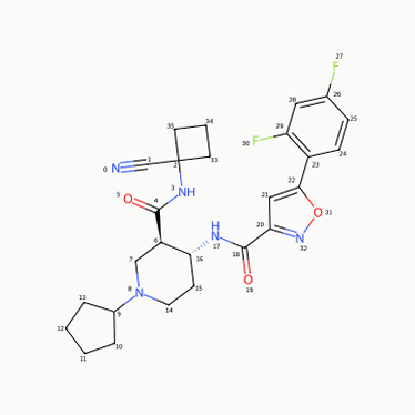 N#CC1(NC(=O)[C@@H]2CN(C3CCCC3)CC[C@H]2NC(=O)c2cc(-c3ccc(F)cc3F)on2)CCC1